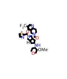 CO[C@@H]1COCC[C@@H]1N[C@@H]1C[C@H]2CN(C(=O)c3nccs3)C[C@@]2(C(=O)N2CCc3ncc(C(F)(F)F)cc3C2)C1